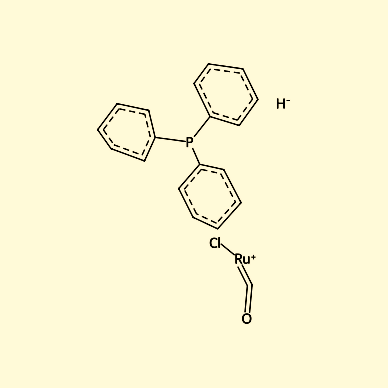 O=[C]=[Ru+][Cl].[H-].c1ccc(P(c2ccccc2)c2ccccc2)cc1